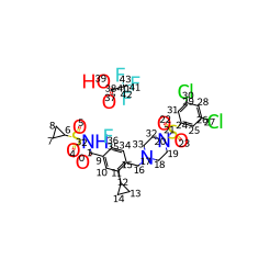 O=C(NS(=O)(=O)C1CC1)c1cc(C2CC2)c(CN2CCN(S(=O)(=O)c3cc(Cl)cc(Cl)c3)CC2)cc1F.O=C(O)C(F)(F)F